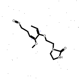 C/C=C(OCCN1CCNC1=O)\C(=C/CCN=O)OC